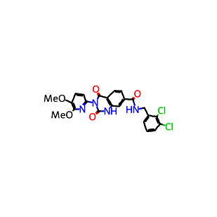 COc1ccc(-n2c(=O)[nH]c3cc(C(=O)NCc4cccc(Cl)c4Cl)ccc3c2=O)nc1OC